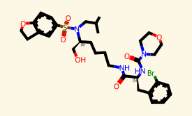 CC(C)CN([C@H](CO)CCCCNC(=O)[C@H](Cc1ccccc1Br)NC(=O)N1CCOCC1)S(=O)(=O)c1ccc2c(c1)CCO2